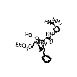 CCOC(=O)CCN(C(=O)[C@H](CC(=O)NC[C@@H]1CCCN(C(=N)N)C1)NCCCc1ccccc1)C1CC1.Cl